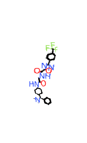 CN(C)C(c1ccccc1)C1CCC(NC(=O)CNC(=O)c2nc(-c3ccc(C(F)(F)F)cc3)no2)CC1